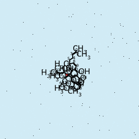 CC(C)=CCC[C@@]1(C)C=Cc2c(O)c3c(c(CC(O)C4OC4(C)C)c2O1)O[C@]12C(=CC4CC1C(C)(C)OC2(C/C=C(/C)OC=O)C4=O)C3=O